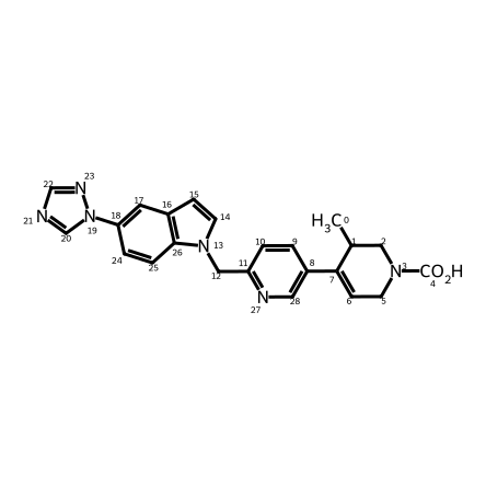 CC1CN(C(=O)O)CC=C1c1ccc(Cn2ccc3cc(-n4cncn4)ccc32)nc1